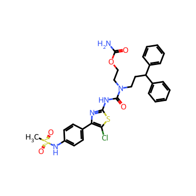 CS(=O)(=O)Nc1ccc(-c2nc(NC(=O)N(CCOC(N)=O)CCC(c3ccccc3)c3ccccc3)sc2Cl)cc1